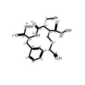 C#CCSC[C@H](C(=O)NO)[C@@H](CC(C)C)C(=O)N[C@@H](Cc1ccccc1)C(=O)NC